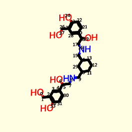 OCc1cc(C(O)CNCC2CCCC(CNCC(O)c3ccc(O)c(CO)c3)C2)ccc1O